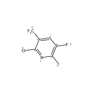 Cc1nc(Cl)c(C(F)(F)F)cc1F